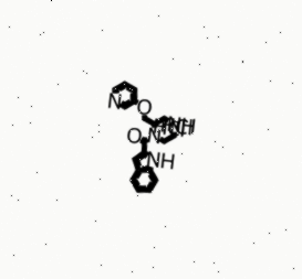 Cl.Cl.O=C(c1cc2ccccc2[nH]1)N1CCNCC1COc1cccnc1